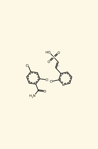 NC(=O)c1ccc(Cl)cc1Cl.O=S(=O)(O)/C=C/c1cccnc1Cl